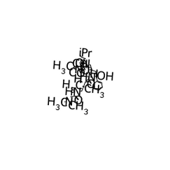 CC(C)CCN(CCCC(O)(NC(=O)CC(C)(C)CNC(=O)CN(C)C)c1ccccc1)S(=O)(=O)NC(C)(C)C(=O)O